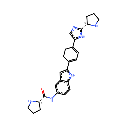 O=C(Nc1ccc2[nH]c(C3=CC=C(c4cnc([C@@H]5CCCN5)[nH]4)CC3)cc2c1)[C@@H]1CCCN1